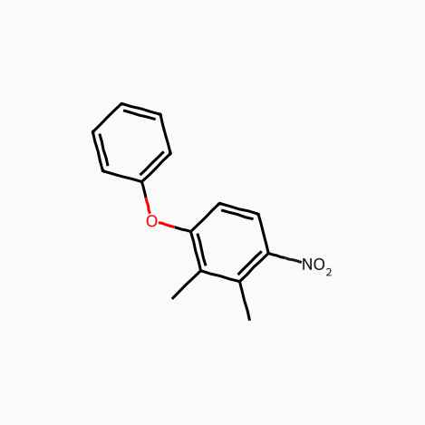 Cc1c(Oc2ccccc2)ccc([N+](=O)[O-])c1C